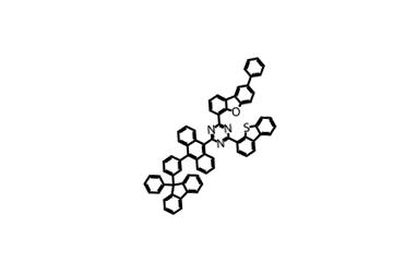 c1ccc(-c2ccc3oc4c(-c5nc(-c6c7ccccc7c(-c7cccc(C8(c9ccccc9)c9ccccc9-c9ccccc98)c7)c7ccccc67)nc(-c6cccc7c6sc6ccccc67)n5)cccc4c3c2)cc1